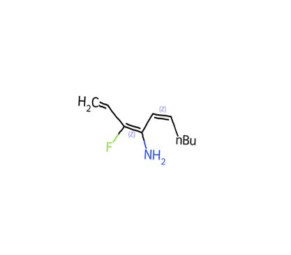 C=C/C(F)=C(N)\C=C/CCCC